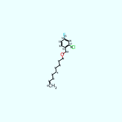 C=CCCCCCCCOCc1ccc(F)cc1Cl